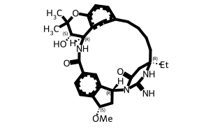 CC[C@]12CCCCc3ccc4c(c3)[C@@H](NC(=O)c3ccc5c(c3)[C@@H](C[C@@H]5OC)N(C(=N)N1)C(=O)C2)[C@H](O)C(C)(C)O4